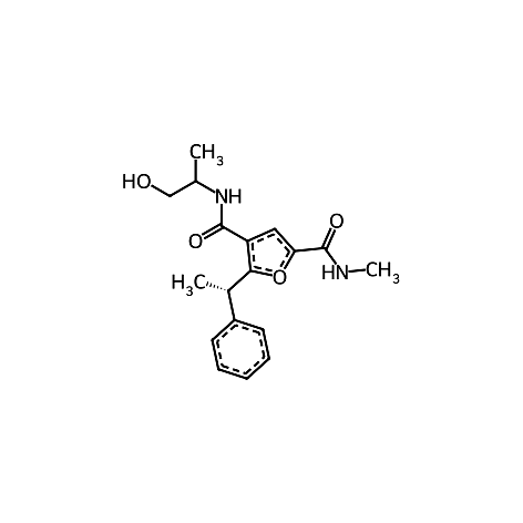 CNC(=O)c1cc(C(=O)NC(C)CO)c([C@@H](C)c2ccccc2)o1